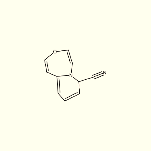 N#CC1C=CC=C2C=COC=CN21